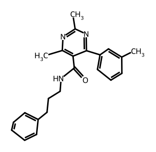 Cc1cccc(-c2nc(C)nc(C)c2C(=O)NCCCc2ccccc2)c1